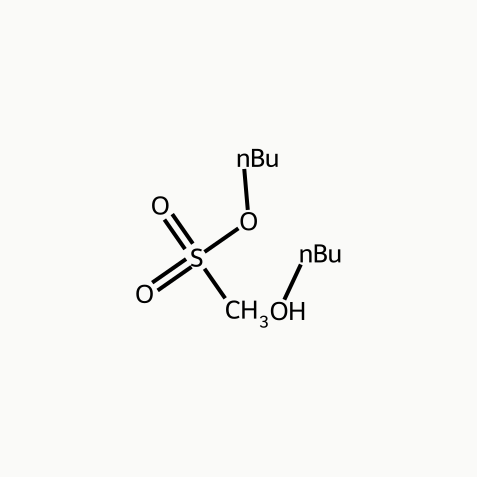 CCCCO.CCCCOS(C)(=O)=O